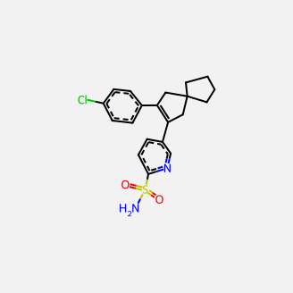 NS(=O)(=O)c1ccc(C2=C(c3ccc(Cl)cc3)CC3(CCCC3)C2)cn1